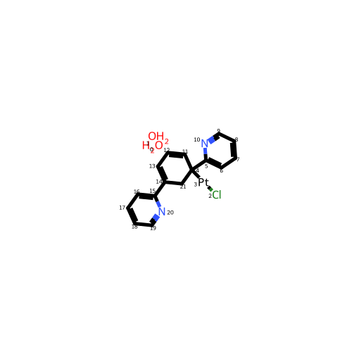 O.O.[Cl][Pt][C]1(c2ccccn2)C=CC=C(c2ccccn2)C1